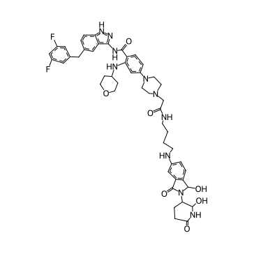 O=C(CN1CCN(c2ccc(C(=O)Nc3n[nH]c4ccc(Cc5cc(F)cc(F)c5)cc34)c(NC3CCOCC3)c2)CC1)NCCCCNc1ccc2c(c1)C(=O)N(C1CCC(=O)NC1O)C2O